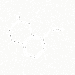 CCCCCc1cccc2c1CNCC2